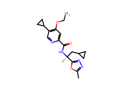 Cc1nnc([C@](C)(CC2CC2)NC(=O)c2cc(OCC(F)(F)F)c(C3CC3)cn2)o1